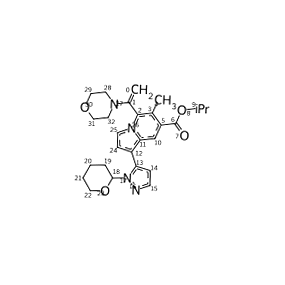 C=C(c1c(C)c(C(=O)OC(C)C)cc2c(-c3ccnn3C3CCCCO3)ccn12)N1CCOCC1